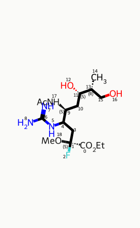 CCOC(=O)[C@@](F)(CC(NC(=N)N)[C@H](C[C@H](O)[C@H](C)CO)NC(C)=O)OC